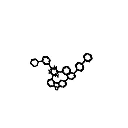 C1=CCC(c2cccc(-c3nc(-c4ccccc4)nc(-c4cccc5oc6ccc(-c7ccc(-c8ccc(-c9ccccc9)cc8)cc7)cc6c45)n3)c2)C=C1